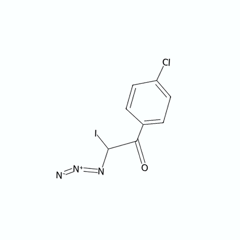 [N-]=[N+]=NC(I)C(=O)c1ccc(Cl)cc1